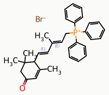 CC1=CC(=O)CC(C)(C)C1/C=C/C(C)=C/C[P+](c1ccccc1)(c1ccccc1)c1ccccc1.[Br-]